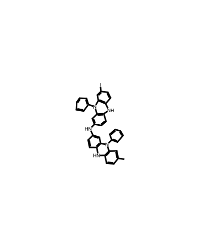 Cc1ccc2c(c1)N(c1ccccc1)c1cc(Nc3ccc4c(c3)N(c3ccccc3)c3cc(I)ccc3N4)ccc1N2